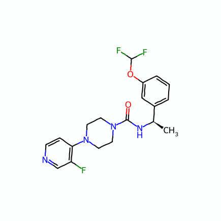 C[C@@H](NC(=O)N1CCN(c2ccncc2F)CC1)c1cccc(OC(F)F)c1